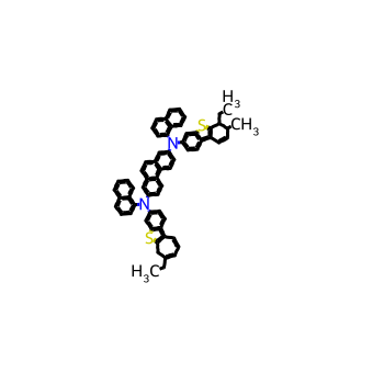 CCC1=CC=Cc2c(sc3cc(N(c4ccc5c(ccc6cc(N(c7ccc8c9c(sc8c7)C(CC)C(C)C=C9)c7cccc8ccccc78)ccc65)c4)c4cccc5ccccc45)ccc23)C1